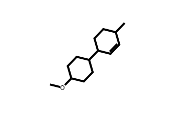 COC1CCC(C2C=CC(C)CC2)CC1